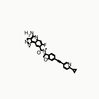 CN(C(=O)c1cc2c(cc1F)nc(N)c1cnn(C)c12)[C@@H]1COc2cc(C#Cc3ccc(C4CC4)nc3)ccc21